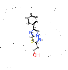 OCCc1nn2cc(-c3ccccc3)nc2s1